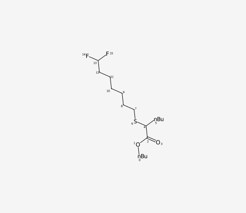 CCCCOC(=O)C(CCCC)SCCCCCCC(F)F